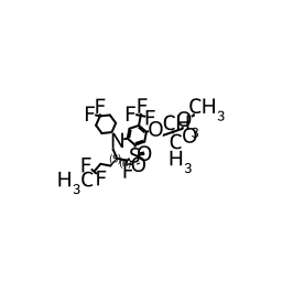 CCOC(=O)C(C)(C)COc1cc2c(cc1C(F)(F)F)N(C1CCC(F)(F)CC1)C[C@H](CCC(C)(F)F)[C@H](F)S2(=O)=O